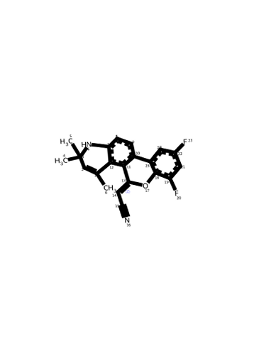 CC1=CC(C)(C)Nc2ccc3c(c21)/C(=C/C#N)Oc1c(F)cc(F)cc1-3